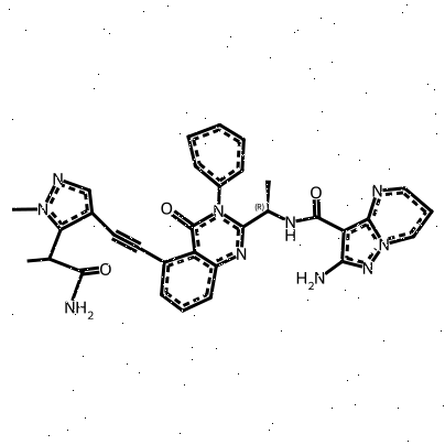 CC(C(N)=O)c1c(C#Cc2cccc3nc([C@@H](C)NC(=O)c4c(N)nn5cccnc45)n(-c4ccccc4)c(=O)c23)cnn1C